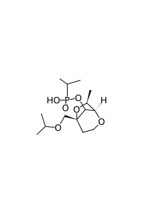 CC(C)OC[C@]12CCO[C@@H](C1OP(=O)(O)C(C)C)[C@H](C)O2